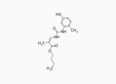 CCCCOC(=O)C(C)=CNC(=O)Nc1cc(O)ccc1C